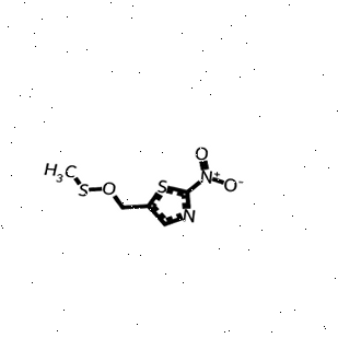 CSOCc1cnc([N+](=O)[O-])s1